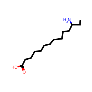 CCC(N)CCCCCCCCCCC(=O)O